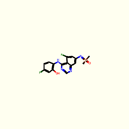 CS(C)(=O)=Nc1cc(F)c2c(Nc3ccc(F)cc3O)ncnc2c1